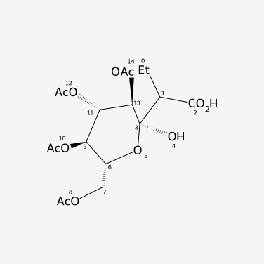 CCC(C(=O)O)[C@@]1(O)O[C@H](COC(C)=O)[C@@H](OC(C)=O)[C@H](OC(C)=O)[C@H]1OC(C)=O